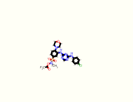 CN(OC(=O)C(F)(F)F)S(=O)(=O)c1ccc(N2CCOCC2)c(Nc2ncnc(Nc3ccc(Cl)cc3)n2)c1